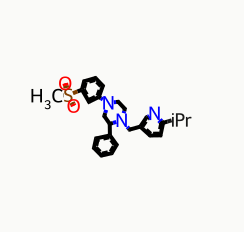 CC(C)c1ccc(CN2CCN(c3cccc(S(C)(=O)=O)c3)CC2c2ccccc2)cn1